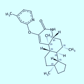 Cc1ccnc(OC2=C[C@@]3(C)[C@@H](C[C@H](C)[C@H]4[C@@H]5CCC[C@@]5(C)CC[C@@H]43)NC2=O)c1